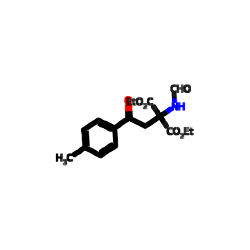 CCOC(=O)C(CC(=O)c1ccc(C)cc1)(NC=O)C(=O)OCC